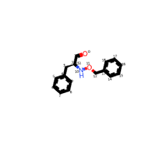 O=[C][C@H](Cc1ccccc1)NOCc1ccccc1